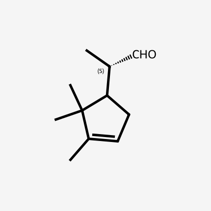 CC1=CCC([C@H](C)C=O)C1(C)C